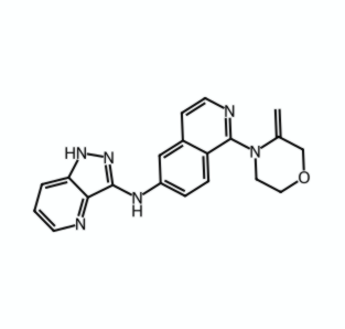 C=C1COCCN1c1nccc2cc(Nc3n[nH]c4cccnc34)ccc12